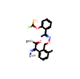 CO/N=C(/C(=O)OC)c1cccc(C)c1CO/N=C(\C)c1ccccc1OC(F)P